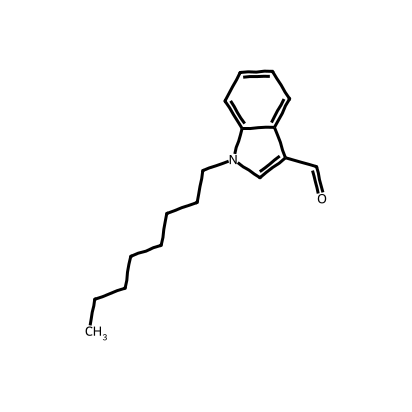 CCCCCCCCn1cc(C=O)c2ccccc21